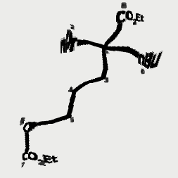 CCCCC(CCC)(CCCOC(=O)OCC)C(=O)OCC